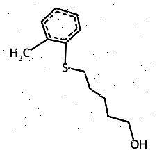 Cc1ccccc1SCCCCCO